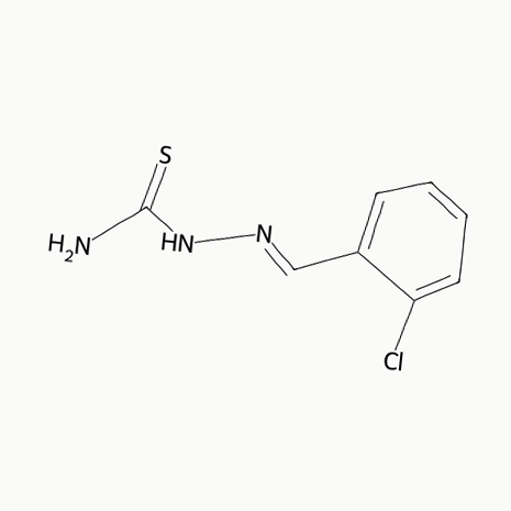 NC(=S)NN=Cc1ccccc1Cl